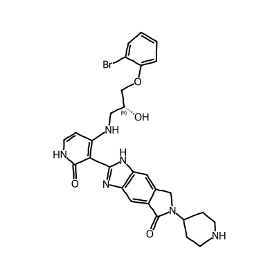 O=C1c2cc3nc(-c4c(NC[C@@H](O)COc5ccccc5Br)cc[nH]c4=O)[nH]c3cc2CN1C1CCNCC1